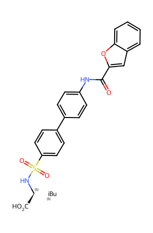 CC[C@H](C)[C@H](NS(=O)(=O)c1ccc(-c2ccc(NC(=O)c3cc4ccccc4o3)cc2)cc1)C(=O)O